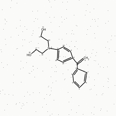 C=C(c1ccccc1)c1ccc(N(CCO)CCO)cc1